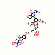 COc1cc(-c2cn(C)c(=O)c3cnccc23)cc(OC)c1CN1CCN(CCCCCOc2ccc3c(c2)C(=O)N(C2CCC(=O)NC2=O)C3=O)CC1.O=CO